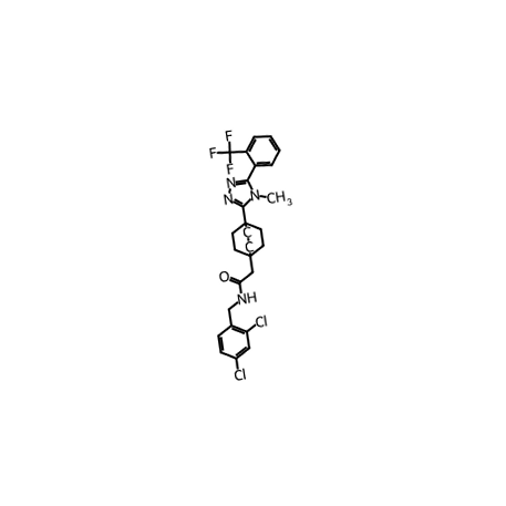 Cn1c(-c2ccccc2C(F)(F)F)nnc1C12CCC(CC(=O)NCc3ccc(Cl)cc3Cl)(CC1)CC2